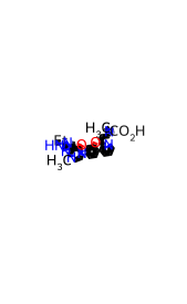 CCNc1ncc2c(n1)N(C)CCN(c1cccc(OC(CCN(C)C(=O)O)c3ccccn3)c1)C2=O